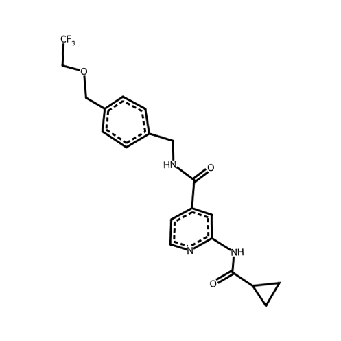 O=C(NCc1ccc(COCC(F)(F)F)cc1)c1ccnc(NC(=O)C2CC2)c1